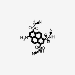 N#CNS(=O)(=O)c1cc(N)c2ccc3c(S(=O)(=O)NC#N)cc(S(=O)(=O)NC#N)c4ccc1c2c34